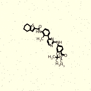 Cc1c(NC(=O)c2cc3c(s2)CCCC3)cccc1-c1ccnc(Nc2ccc(C(=O)N(C)C(C)(C)C)cc2)n1